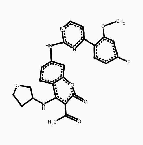 COc1cc(F)ccc1-c1ccnc(Nc2ccc3c(NC4CCOC4)c(C(C)=O)c(=O)oc3c2)n1